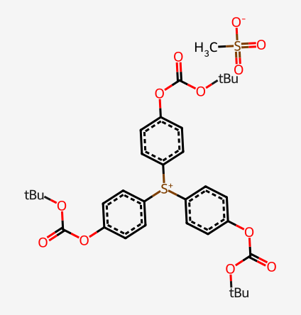 CC(C)(C)OC(=O)Oc1ccc([S+](c2ccc(OC(=O)OC(C)(C)C)cc2)c2ccc(OC(=O)OC(C)(C)C)cc2)cc1.CS(=O)(=O)[O-]